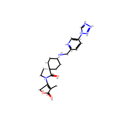 CC1=C(N2CC[C@]3(CC[C@@H](NCc4ccc(-n5cnnn5)cn4)CC3)C2=O)COC1=O